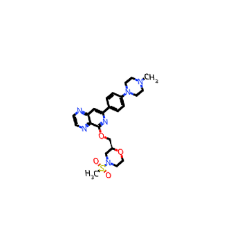 CN1CCN(c2ccc(-c3cc4nccnc4c(OC[C@@H]4CN(S(C)(=O)=O)CCO4)n3)cc2)CC1